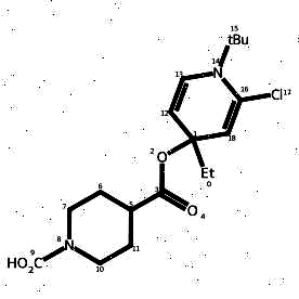 CCC1(OC(=O)C2CCN(C(=O)O)CC2)C=CN(C(C)(C)C)C(Cl)=C1